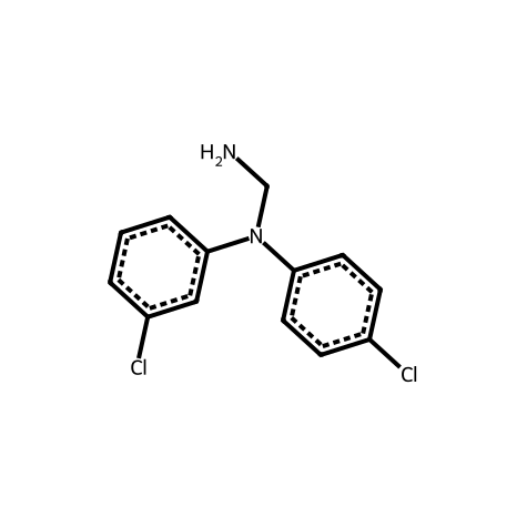 NCN(c1ccc(Cl)cc1)c1cccc(Cl)c1